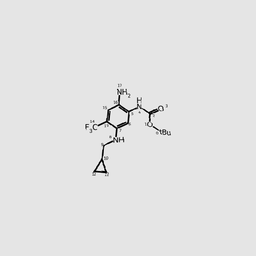 CC(C)(C)OC(=O)Nc1cc(NCC2CC2)c(C(F)(F)F)cc1N